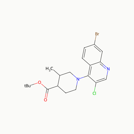 CC1CN(c2c(Cl)cnc3cc(Br)ccc23)CCC1C(=O)OC(C)(C)C